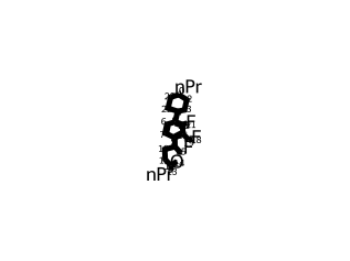 CCCC1CCC(c2ccc(C3CCC(CCC)OC3)c(C(F)F)c2F)CC1